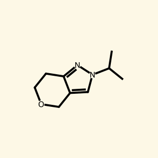 CC(C)n1cc2c(n1)CCOC2